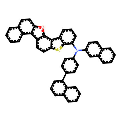 c1ccc2cc(N(c3ccc(-c4cccc5ccccc45)cc3)c3cccc4c3sc3ccc5c(oc6ccc7ccccc7c65)c34)ccc2c1